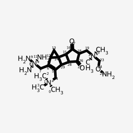 C[N+](C)(C)CC1=C(C[N+](N)(N)N)C2CC23C2C(=O)C(C[N+](C)(C)CON)C(=O)C2C13